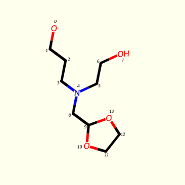 [O]CCCN(CCO)CC1OCCO1